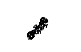 O=C1C(c2cc3c4c(c2O)CCCN4CCC3)=C(O)/C1=c1/cc2c3c(c1O)CCC[N+]=3CCC2